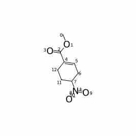 COC(=O)C1=CCC([N+](=O)[O-])CC1